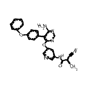 C=C(C#N)C(=O)Nc1cncc(Oc2ncnc(N)c2-c2ccc(Oc3ccccc3)cc2)c1